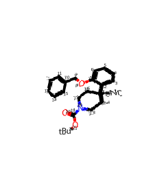 [C-]#[N+]C1(c2ccccc2OCc2ccccc2)CCN(C(=O)OC(C)(C)C)CC1